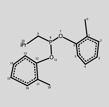 Cc1ccccc1OP(CC(C)C)Oc1ccccc1C